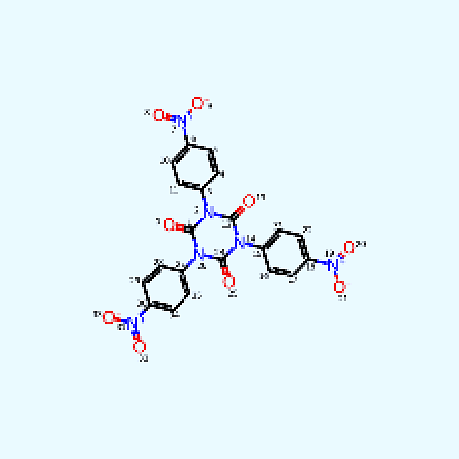 O=c1n(-c2ccc([N+](=O)[O-])cc2)c(=O)n(-c2ccc([N+](=O)[O-])cc2)c(=O)n1-c1ccc([N+](=O)[O-])cc1